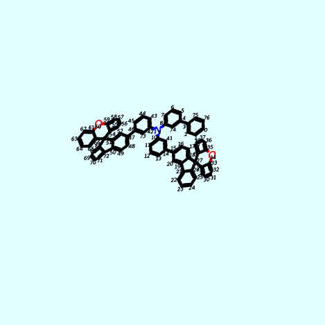 c1ccc(-c2cccc(N(c3cccc(-c4ccc5c(c4)-c4ccccc4C54c5ccccc5Oc5ccccc54)c3)c3cccc(-c4ccc5c(c4)C4(c6ccccc6Oc6ccccc64)c4ccccc4-5)c3)c2)cc1